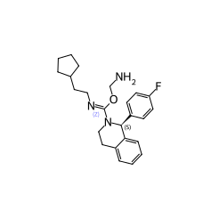 NCO/C(=N\CCC1CCCC1)N1CCc2ccccc2[C@@H]1c1ccc(F)cc1